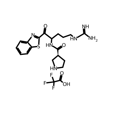 N=C(N)NCCCC(NC(=O)[C@H]1CCNC1)C(=O)c1nc2ccccc2s1.O=C(O)C(F)(F)F